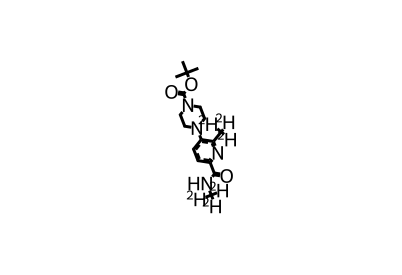 [2H]C([2H])([2H])NC(=O)c1ccc(N2CCN(C(=O)OC(C)(C)C)CC2)c(C([2H])([2H])[2H])n1